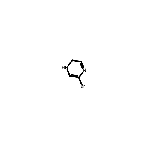 BrC1=CNCC=N1